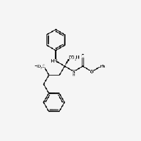 CC(C)(C)OC(=O)N[C@](CC(Cc1ccccc1)C(=O)O)(Nc1ccccc1)C(=O)O